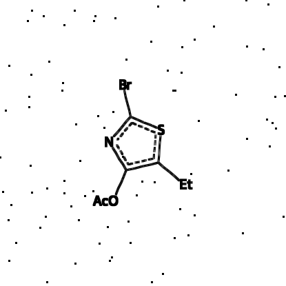 CCc1sc(Br)nc1OC(C)=O